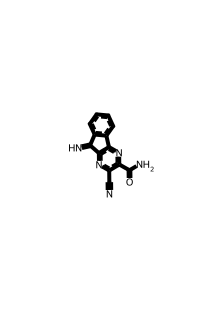 N#Cc1nc2c(nc1C(N)=O)-c1ccccc1C2=N